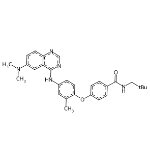 Cc1cc(Nc2ncnc3ccc(N(C)C)cc23)ccc1Oc1ccc(C(=O)NCC(C)(C)C)cc1